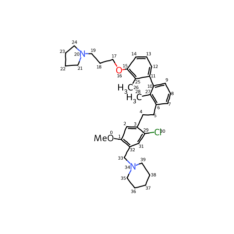 COc1cc(CCc2cccc(-c3cccc(OCCCN4CCCC4)c3C)c2C)c(Cl)cc1CN1CCCCC1